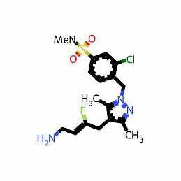 CNS(=O)(=O)c1ccc(Cn2nc(C)c(C/C(F)=C/CN)c2C)c(Cl)c1